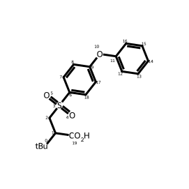 CC(C)(C)C(CS(=O)(=O)c1ccc(Oc2ccccc2)cc1)C(=O)O